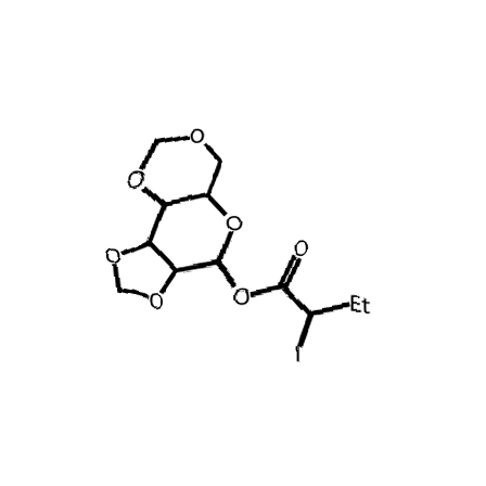 CCC(I)C(=O)OC1OC2COCOC2C2OCOC12